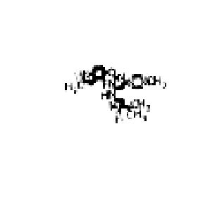 Cc1cc2c(F)c(Oc3nc(Nc4cc(C(C)C)[nH]n4)cc(N4CCN(C)CC4)n3)ccc2[nH]1